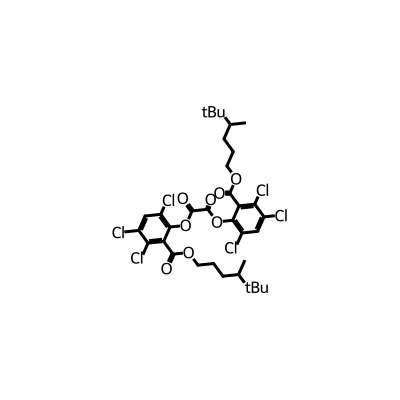 CC(CCCOC(=O)c1c(Cl)c(Cl)cc(Cl)c1OC(=O)C(=O)Oc1c(Cl)cc(Cl)c(Cl)c1C(=O)OCCCC(C)C(C)(C)C)C(C)(C)C